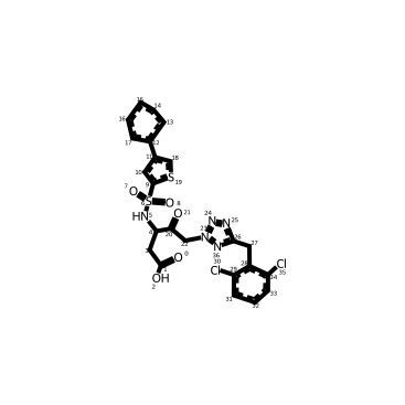 O=C(O)CC(NS(=O)(=O)c1cc(-c2ccccc2)cs1)C(=O)Cn1nnc(Cc2c(Cl)cccc2Cl)n1